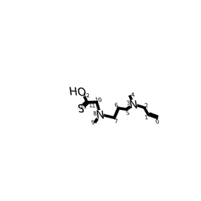 C=CCN(C)CCCN(C)CC(O)=S